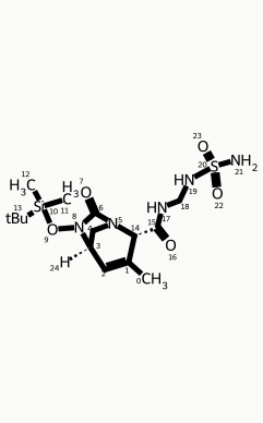 CC1=C[C@@H]2CN(C(=O)N2O[Si](C)(C)C(C)(C)C)[C@@H]1C(=O)NCNS(N)(=O)=O